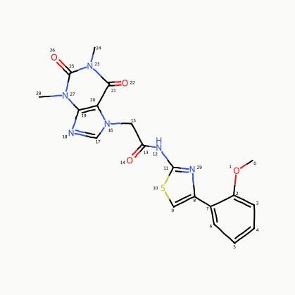 COc1ccccc1-c1csc(NC(=O)Cn2cnc3c2c(=O)n(C)c(=O)n3C)n1